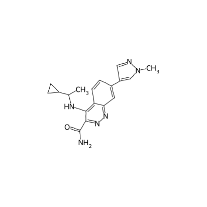 CC(Nc1c(C(N)=O)nnc2cc(-c3cnn(C)c3)ccc12)C1CC1